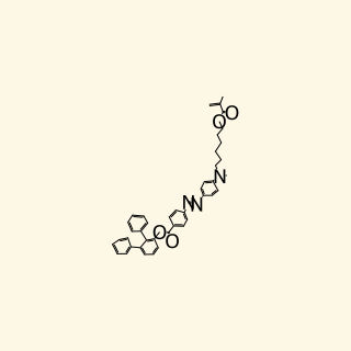 C=C(C)C(=O)OCCCCCCN(C)c1ccc(N=Nc2ccc(C(=O)Oc3cccc(-c4ccccc4)c3-c3ccccc3)cc2)cc1